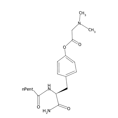 CCCCCC(=O)N[C@@H](Cc1ccc(OC(=O)CN(C)C)cc1)C(N)=O